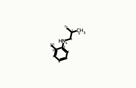 CC(I)CNc1ccccc1I